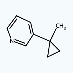 CC1(c2cccnc2)CC1